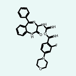 N=C(NC1N=C(c2ccccc2)c2ccccc2NC1=O)OC(=N)c1ccc(N2CCOCC2)cc1F